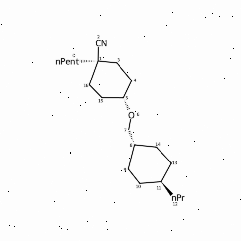 CCCCC[C@]1(C#N)CC[C@H](OC[C@H]2CC[C@H](CCC)CC2)CC1